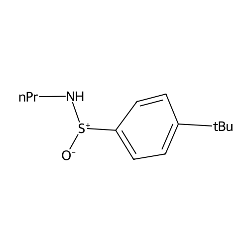 CCCN[S+]([O-])c1ccc(C(C)(C)C)cc1